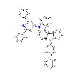 c1ccc(-c2ccc(-n3c4ccccc4c4c5c6ccccc6n(-c6cc(-c7ccccc7)nc(-c7ccccc7)c6)c5ccc43)cc2)cc1